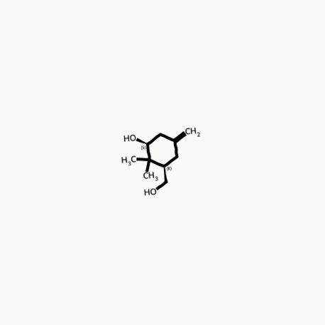 C=C1C[C@@H](CO)C(C)(C)[C@@H](O)C1